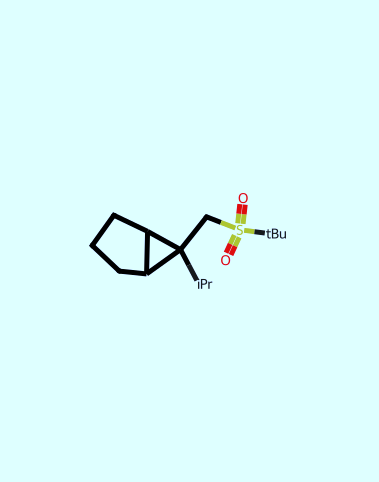 CC(C)C1(CS(=O)(=O)C(C)(C)C)C2CCCC21